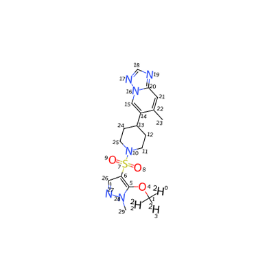 [2H]C([2H])([2H])Oc1c(S(=O)(=O)N2CCC(c3cn4ncnc4cc3C)CC2)cnn1C